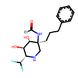 CCC(=O)N[C@@]1(CCCc2ccccc2)CN[C@H](C(F)F)[C@@H](O)[C@@H]1O